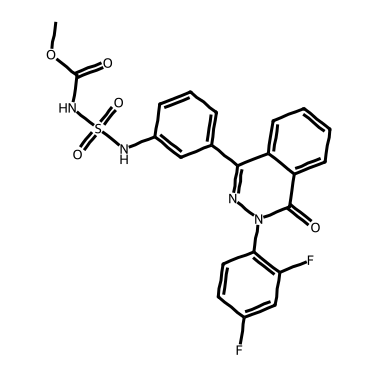 COC(=O)NS(=O)(=O)Nc1cccc(-c2nn(-c3ccc(F)cc3F)c(=O)c3ccccc23)c1